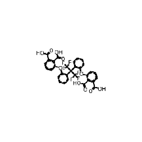 O=C(O)c1cccc(Oc2ccccc2C(c2ccccc2Oc2cccc(C(=O)O)c2C(=O)O)(C(F)(F)F)C(F)(F)F)c1C(=O)O